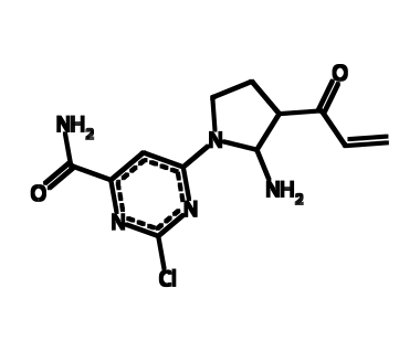 C=CC(=O)C1CCN(c2cc(C(N)=O)nc(Cl)n2)C1N